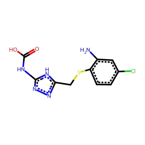 Nc1cc(Cl)ccc1SCc1nnc(NC(=O)O)[nH]1